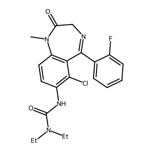 CCN(CC)C(=O)Nc1ccc2c(c1Cl)C(c1ccccc1F)=NCC(=O)N2C